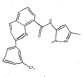 Cc1cc(NC(=O)c2cccc3ccc(-c4cccc(C(F)(F)F)c4)nc23)n(C)n1